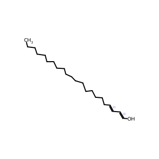 CCCCCCCCCCCCCCCCCC/C=C/C=C/O